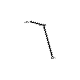 CCCCCCCCC=CCCCCCCCCCCCC(=O)OCCCCCCCCCCCCCCCCCCCCCCCCCCCCCCCO